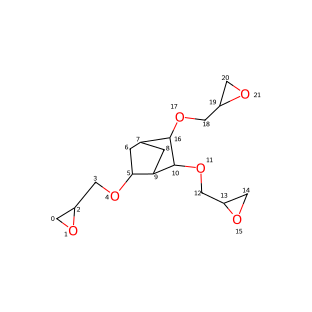 C1OC1COC1CC2CC1C(OCC1CO1)C2OCC1CO1